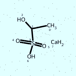 CC(O)S(=O)(=O)O.[CaH2]